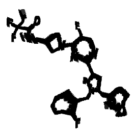 O=C(NC1CN(c2nc(-c3cc(-c4ccon4)n(Cc4ccccc4F)n3)ncc2F)C1)C(F)(F)F